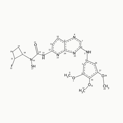 COc1cc(Nc2cnc3ccc(NC(=O)N(S)C4CCC4F)nc3n2)cc(OC)c1OC